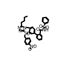 CCCCc1nnc([S+]([O-])Cc2ccc([N+](=O)[O-])cc2)n1Cc1ccc(-c2ccccc2C(=O)NS(=O)(=O)c2ccccc2)cc1